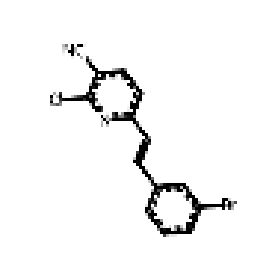 N#Cc1ccc(C=Cc2cccc(Br)c2)nc1Cl